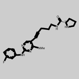 CNc1nc(Nc2cccc(F)c2)ncc1C#CCCCNC(=O)[C@@H]1CCCN1